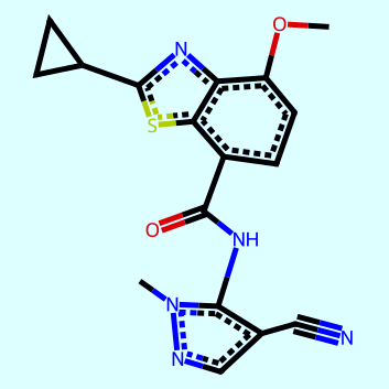 COc1ccc(C(=O)Nc2c(C#N)cnn2C)c2sc(C3CC3)nc12